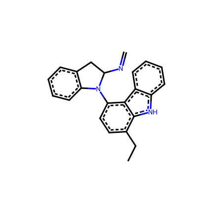 C=NC1Cc2ccccc2N1c1ccc(CC)c2[nH]c3ccccc3c12